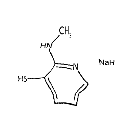 CNc1ncccc1S.[NaH]